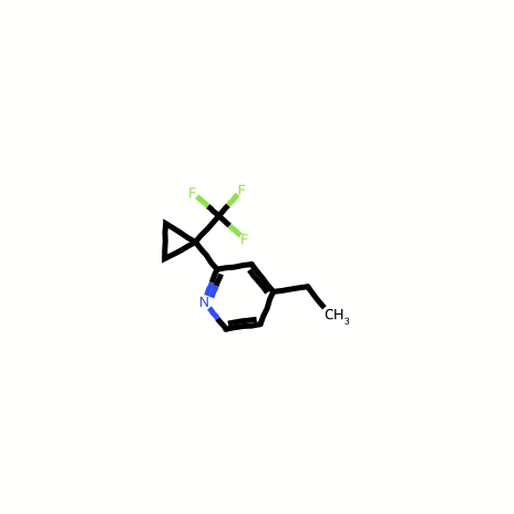 CCc1ccnc(C2(C(F)(F)F)CC2)c1